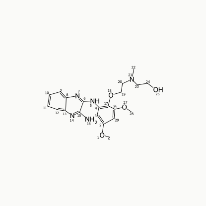 COc1cc(Nc2nc3ccccc3nc2N)c(OCCN(C)CCO)c(OC)c1